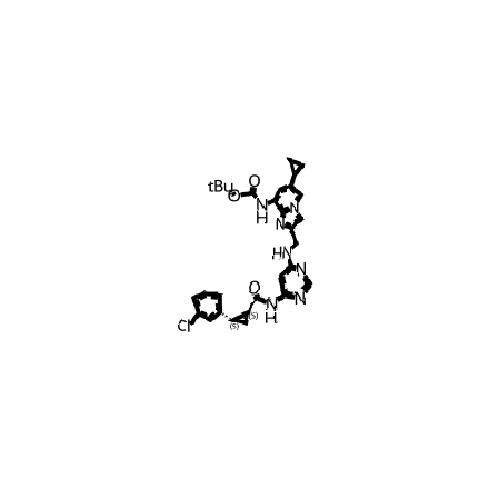 CC(C)(C)OC(=O)Nc1cc(C2CC2)cn2cc(CNc3cc(NC(=O)[C@H]4C[C@@H]4c4cccc(Cl)c4)ncn3)nc12